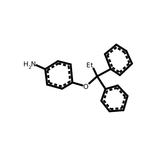 CCC(Oc1ccc(N)cc1)(c1ccccc1)c1ccccc1